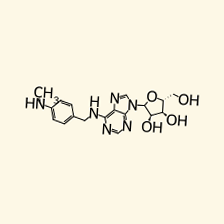 CNc1ccc(CNc2ncnc3c2ncn3C2O[C@H](CO)[C@@H](O)[C@H]2O)cc1